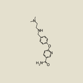 CN(C)CCNCc1ccc(Oc2ccc(C(N)=O)cn2)cc1